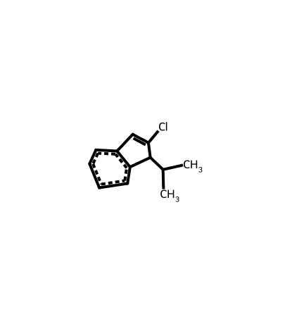 CC(C)C1C(Cl)=Cc2ccccc21